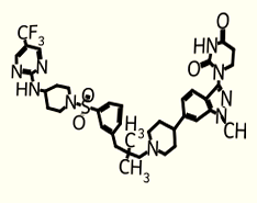 Cn1nc(N2CCC(=O)NC2=O)c2ccc(C3CCN(CC(C)(C)Cc4cccc(S(=O)(=O)N5CCC(Nc6ncc(C(F)(F)F)cn6)CC5)c4)CC3)cc21